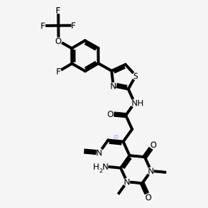 C=N/C=C(/CC(=O)Nc1nc(-c2ccc(OC(F)(F)F)c(F)c2)cs1)c1c(N)n(C)c(=O)n(C)c1=O